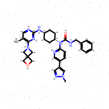 Cn1cc(-c2ccc(N(C(=O)NCc3ccccc3)[C@H]3CC[C@H](Nc4ncc(C#N)c(N5CC6(COC6)C5)n4)CC3)nc2)cn1